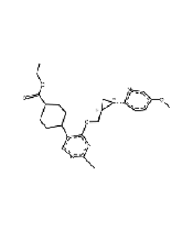 CCOC(=O)C1CCC(c2cnc(C)nc2OC[C@H]2C[C@@H]2c2ccc(OC)cn2)CC1